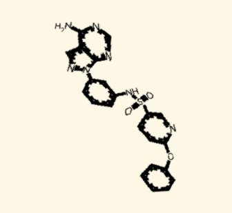 Nc1ncnc2c1cnn2-c1cccc(NS(=O)(=O)c2ccc(Oc3ccccc3)nc2)c1